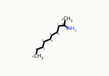 CCC[CH]CCCCC(C)N